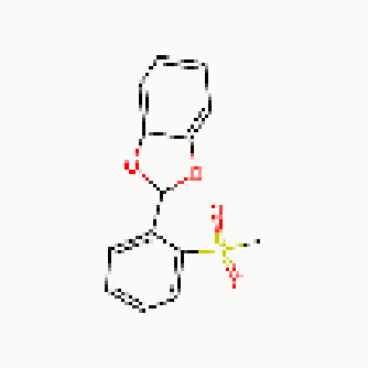 CS(=O)(=O)c1ccccc1C1Oc2ccccc2O1